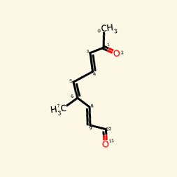 CC(=O)C=CC=C(C)C=CC=O